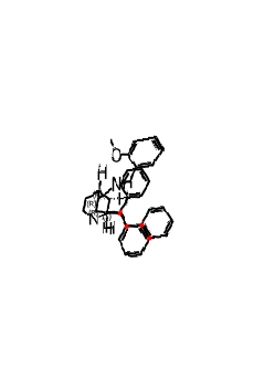 COc1ccccc1CN[C@@H]1[C@@H]2CCN([C@@H](CCc3ccccc3)C2)[C@@H]1C(c1ccccc1)c1ccccc1